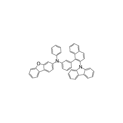 c1ccc(N(c2cccc(-c3c(-n4c5ccccc5c5ccccc54)ccc4ccccc34)c2)c2ccc3c(c2)oc2ccccc23)cc1